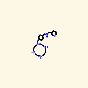 c1cncc(CNCc2ccc(CN3CCCNCCNCCCNCC3)cc2)c1